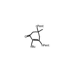 CCCCCC1=C(CCCC)C(=O)CC(C)(CCCCC)C1